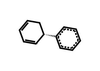 [C]1=CC=CC[C@@H]1c1ccccc1